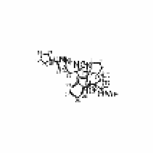 CC[C@@]12CCCN(C#N)[C@@H]1c1c(CCn3cc(C4CCCC4)nn3)c3ccccc3n1[C@@](O)(C(=O)OC)C2